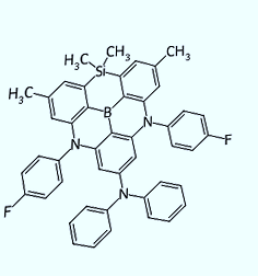 Cc1cc2c3c(c1)[Si](C)(C)c1cc(C)cc4c1B3c1c(cc(N(c3ccccc3)c3ccccc3)cc1N4c1ccc(F)cc1)N2c1ccc(F)cc1